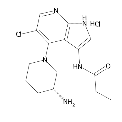 CCC(=O)Nc1c[nH]c2ncc(Cl)c(N3CCC[C@@H](N)C3)c12.Cl